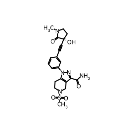 CN1CC[C@@](O)(C#Cc2cccc(-n3nc(C(N)=O)c4c3CCN(S(C)(=O)=O)C4)c2)C1=O